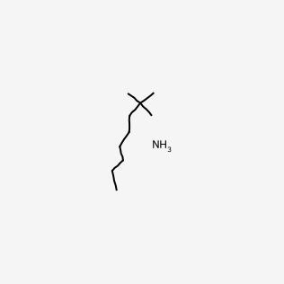 CCCCCCC(C)(C)C.N